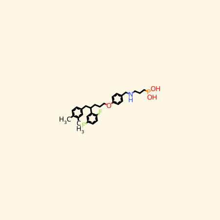 Cc1ccc(CC(CCCOc2ccc(CNCCCP(O)O)cc2)c2cc(F)ccc2F)cc1C